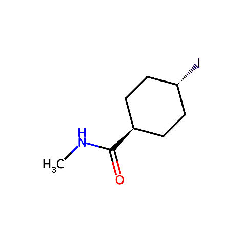 CNC(=O)[C@H]1CC[C@H](I)CC1